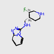 F[C@@H]1CNCC[C@@H]1CNc1nnc2ccccn12